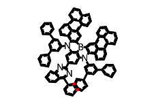 c1ccc(-c2cc(-c3ccccc3)cc(N3c4cc(-c5nc(-c6ccccc6)c6ccccc6n5)cc5c4B(c4cc6c7cccc8cccc(c9cccc(c43)c96)c87)c3cc4c6cccc7cccc(c8cccc(c3N5c3cc(-c5ccccc5)cc(-c5ccccc5)c3)c84)c76)c2)cc1